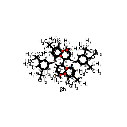 COc1c(C(C)(C)C)cc(P(c2cc(C(C)(C)C)c(OC)c(C(C)(C)C)c2)c2ccc3c(c2-c2c(P(c4cc(C(C)(C)C)c(OC)c(C(C)(C)C)c4)c4cc(C(C)(C)C)c(OC)c(C(C)(C)C)c4)ccc4c2OCO4)OCO3)cc1C(C)(C)C.[Rh+]